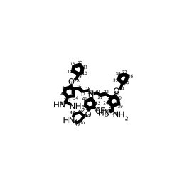 N=C(N)c1ccc(OCc2ccccc2)c(C=CCN(CC=Cc2cc(C(=N)N)ccc2OCc2ccccc2)c2ccc(OC3CCNCC3)c(C(F)(F)F)c2)c1